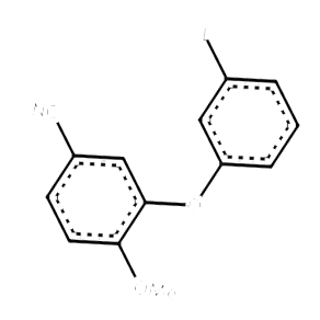 COc1ccc(C#N)cc1Oc1cccc(I)c1